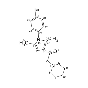 Cc1cc(C(=O)CN2CCCCC2)c(C)n1-c1ccc(I)cc1